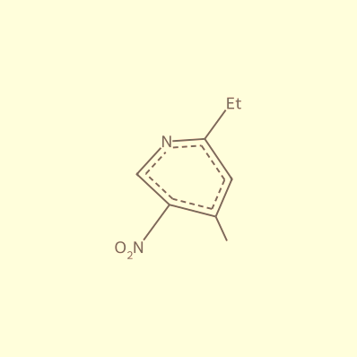 CCc1cc(C)c([N+](=O)[O-])cn1